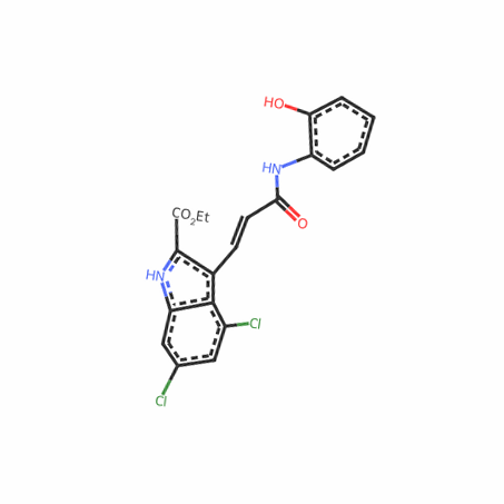 CCOC(=O)c1[nH]c2cc(Cl)cc(Cl)c2c1C=CC(=O)Nc1ccccc1O